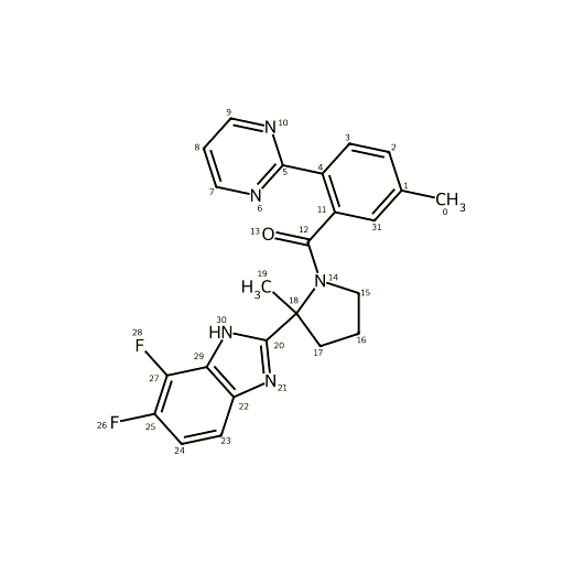 Cc1ccc(-c2ncccn2)c(C(=O)N2CCCC2(C)c2nc3ccc(F)c(F)c3[nH]2)c1